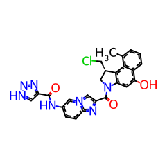 Cc1cccc2c(O)cc3c(c12)[C@H](CCl)CN3C(=O)c1cn2cc(NC(=O)c3c[nH]nn3)ccc2n1